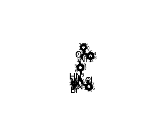 O=C(NCc1ccc(CNc2cc(-c3ccccc3Cl)nc3c(Br)cnn23)cc1)C(c1ccccc1)C1CCCC1